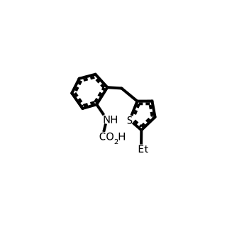 CCc1ccc(Cc2ccccc2NC(=O)O)s1